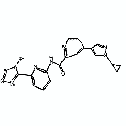 CC(C)n1nnnc1-c1cccc(NC(=O)c2cc(-c3cnn(C4CC4)c3)ccn2)n1